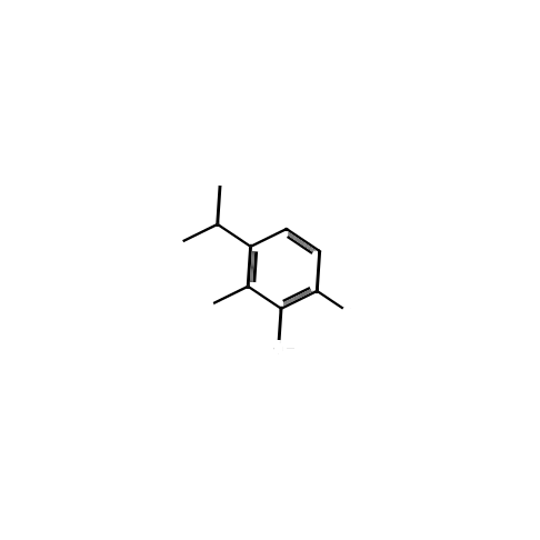 Cc1c(C(C)C)ccc(Cl)c1O